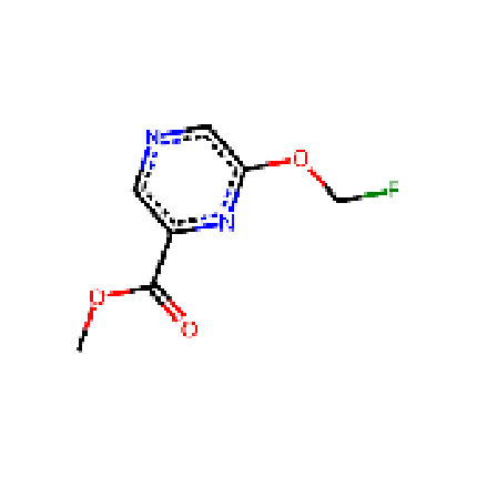 COC(=O)c1cncc(OCF)n1